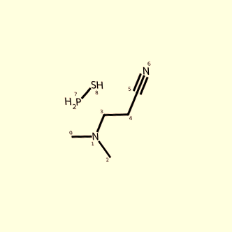 CN(C)CCC#N.PS